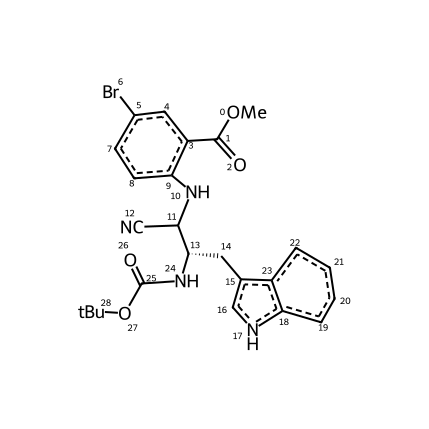 COC(=O)c1cc(Br)ccc1NC(C#N)[C@H](Cc1c[nH]c2ccccc12)NC(=O)OC(C)(C)C